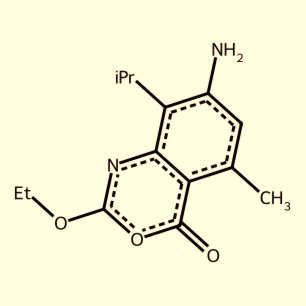 CCOc1nc2c(C(C)C)c(N)cc(C)c2c(=O)o1